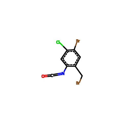 O=C=Nc1cc(Cl)c(Br)cc1CBr